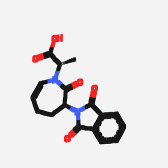 C[C@@H](C(=O)O)N1C=CCC[C@H](N2C(=O)c3ccccc3C2=O)C1=O